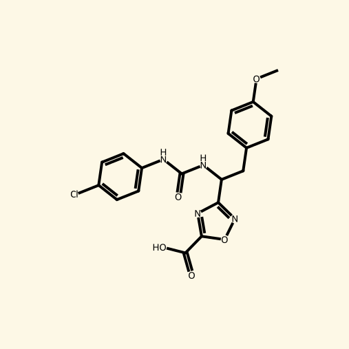 COc1ccc(CC(NC(=O)Nc2ccc(Cl)cc2)c2noc(C(=O)O)n2)cc1